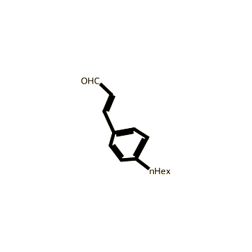 CCCCCCc1ccc(C=CC=O)cc1